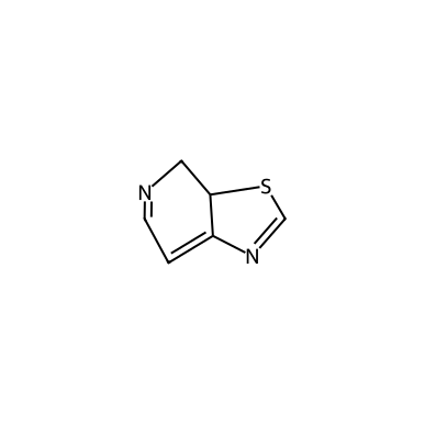 C1=NCC2SC=NC2=C1